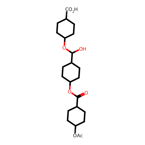 CC(=O)OC1CCC(C(=O)OC2CCC(C(O)OC3CCC(C(=O)O)CC3)CC2)CC1